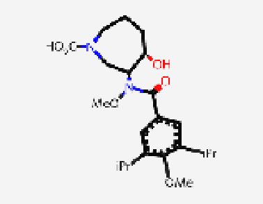 COc1c(C(C)C)cc(C(=O)N(OC)[C@@H]2CN(C(=O)O)CCC[C@H]2O)cc1C(C)C